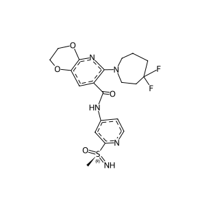 C[S@@](=N)(=O)c1cc(NC(=O)c2cc3c(nc2N2CCCC(F)(F)CC2)OCCO3)ccn1